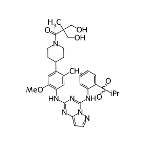 COc1cc(C2CCN(C(=O)C(C)(CO)CO)CC2)c(C)cc1Nc1nc(Nc2ccccc2S(=O)(=O)C(C)C)n2nccc2n1